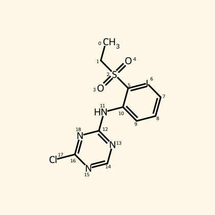 CCS(=O)(=O)C1=IC=CC=C1Nc1ncnc(Cl)n1